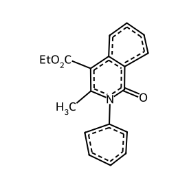 CCOC(=O)c1c(C)n(-c2ccccc2)c(=O)c2ccccc12